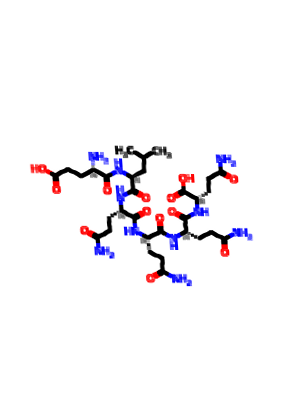 CC(C)C[C@H](NC(=O)[C@@H](N)CCC(=O)O)C(=O)N[C@@H](CCC(N)=O)C(=O)N[C@@H](CCC(N)=O)C(=O)N[C@@H](CCC(N)=O)C(=O)N[C@@H](CCC(N)=O)C(=O)O